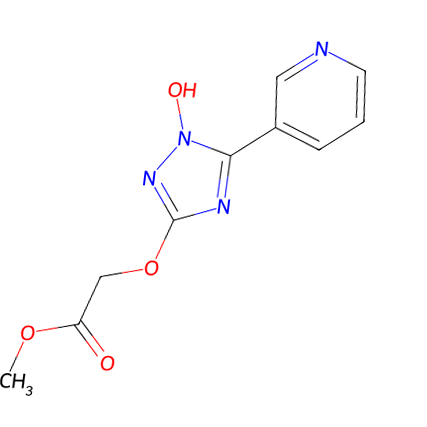 COC(=O)COc1nc(-c2cccnc2)n(O)n1